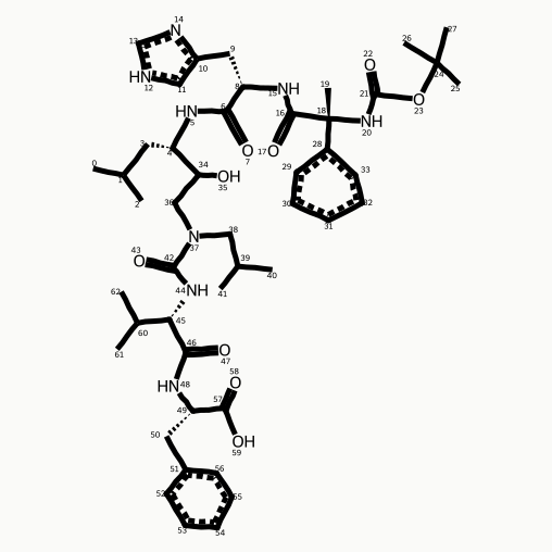 CC(C)C[C@H](NC(=O)[C@H](Cc1c[nH]cn1)NC(=O)[C@](C)(NC(=O)OC(C)(C)C)c1ccccc1)C(O)CN(CC(C)C)C(=O)N[C@H](C(=O)N[C@@H](Cc1ccccc1)C(=O)O)C(C)C